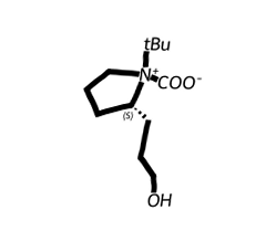 CC(C)(C)[N+]1(C(=O)[O-])CCC[C@H]1CCCO